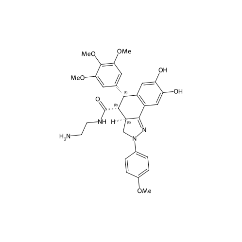 COc1ccc(N2C[C@@H]3C(=N2)c2cc(O)c(O)cc2[C@@H](c2cc(OC)c(OC)c(OC)c2)[C@H]3C(=O)NCCN)cc1